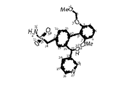 COCOc1cccc(OC)c1-c1ccc(CS(N)(=O)=O)cc1C(O)c1cccnc1